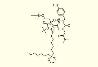 CCCCCCCC1(CCCCCC/C=C/[C@H](C(=O)N[C@@H](Cc2ccc(O)cc2)C(=O)OCC(=O)N(C)C)[C@@](O)(CCO[Si](C)(C)C(C)(C)C)C(=O)OC(C)(C)C)OCCO1